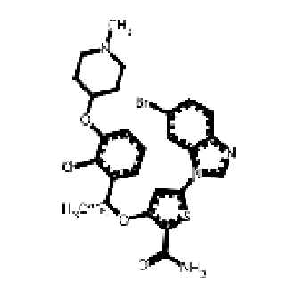 C[C@@H](Oc1cc(-n2cnc3ccc(Br)cc32)sc1C(N)=O)c1cccc(OC2CCN(C)CC2)c1Cl